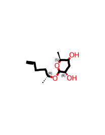 C=CCC[C@@H](C)OC1O[C@@H](C)C(O)C[C@H]1O